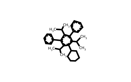 CC(C)c1c(-c2ccccc2)c(C(C)C)c(C2CCCCC2)c(C(C)C)c1-c1ccccc1